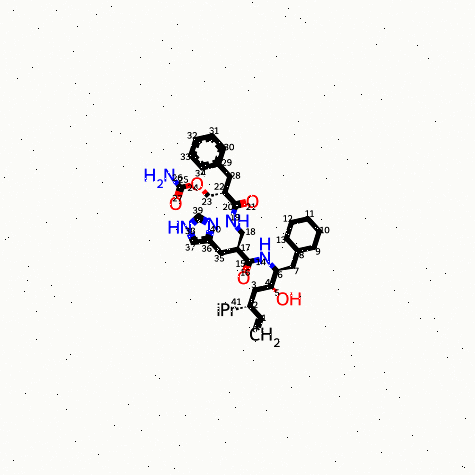 C=C[C@@H](C[C@H](O)[C@H](CC1CCCCC1)NC(=O)[C@H](CNC(=O)[C@H](COC(N)=O)Cc1ccccc1)Cc1c[nH]cn1)C(C)C